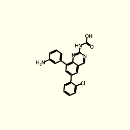 Nc1cccc(-c2cc(-c3ccccc3Cl)cc3cnc(NC(=O)O)nc23)c1